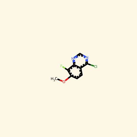 COc1ccc2c(Cl)ncnc2c1F